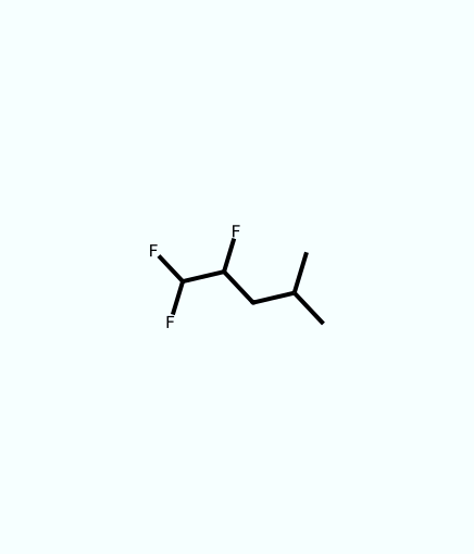 CC(C)CC(F)[C](F)F